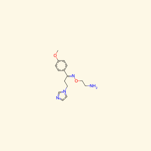 COc1ccc(C(CCn2ccnc2)=NOCCN)cc1